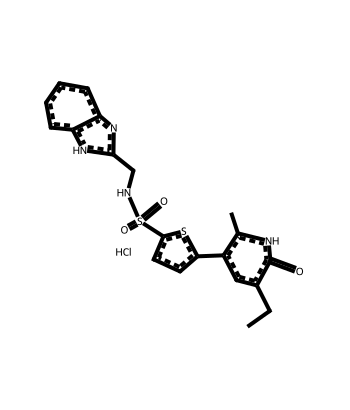 CCc1cc(-c2ccc(S(=O)(=O)NCc3nc4ccccc4[nH]3)s2)c(C)[nH]c1=O.Cl